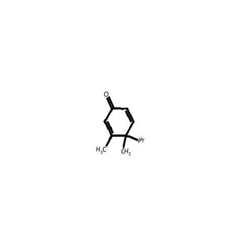 CC1=CC(=O)C=CC1(C)C(C)C